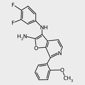 COc1ccccc1-c1nccc2c(Nc3ccc(F)c(F)c3)c(N)oc12